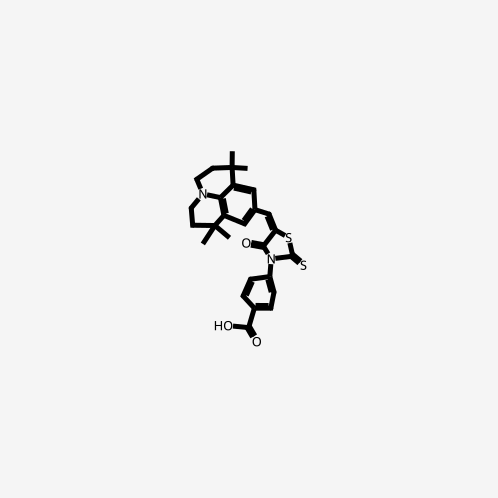 CC1(C)CCN2CCC(C)(C)c3cc(/C=C4/SC(=S)N(c5ccc(C(=O)O)cc5)C4=O)cc1c32